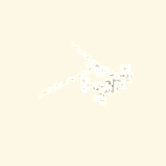 CCCCCCCCCCCCCCCC(=O)O[C@H](CCCCCCCCC)CC(=O)OC[C@H]1OC(O)[C@H](NC(C)=O)[C@H](OC(C)C(=O)N[C@@H](C)C(=O)N[C@H](CCC(=O)O)C(N)=O)[C@@H]1O